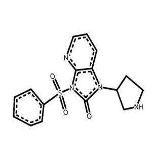 O=c1n(C2CCNC2)c2cccnc2n1S(=O)(=O)c1ccccc1